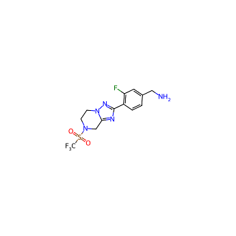 NCc1ccc(-c2nc3n(n2)CCN(S(=O)(=O)C(F)(F)F)C3)c(F)c1